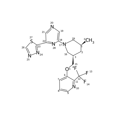 C[C@H]1C[C@@H](COc2cccnc2C(F)(F)F)CN(c2cncc(-c3nncs3)n2)C1